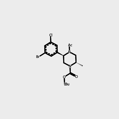 CC(=O)N1C[C@H](C)N(C(=O)OC(C)(C)C)C[C@H]1c1cc(Cl)cc(Br)c1